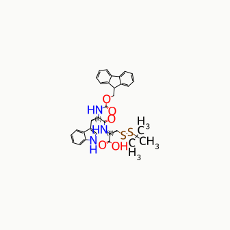 CC(C)(C)SSC[C@H](NC(=O)[C@@H](Cc1c[nH]c2ccccc12)NC(=O)OCC1c2ccccc2-c2ccccc21)C(=O)O